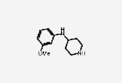 COc1cccc(NC2CCNCC2)c1